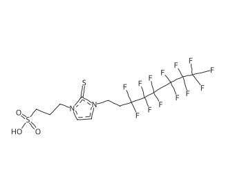 O=S(=O)(O)CCCn1ccn(CCC(F)(F)C(F)(F)C(F)(F)C(F)(F)C(F)(F)C(F)(F)F)c1=S